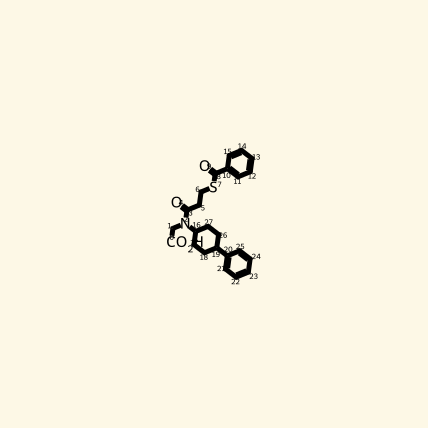 O=C(O)CN(C(=O)CCSC(=O)c1ccccc1)C1CCC(c2ccccc2)CC1